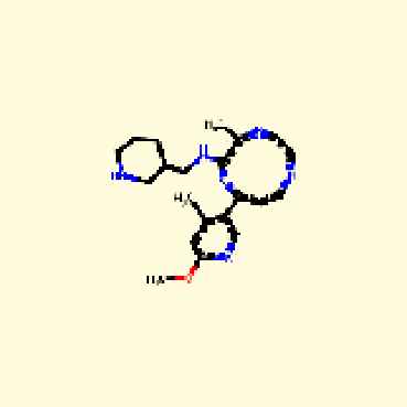 COc1cc(C)c(-c2ccnccnc(C)c(NCC3CCCNC3)n2)cn1